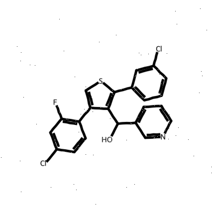 OC(c1cccnc1)c1c(-c2ccc(Cl)cc2F)csc1-c1cccc(Cl)c1